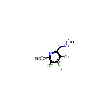 CCOC(=O)c1nc(CNC=O)c(Cl)c(Cl)c1Cl